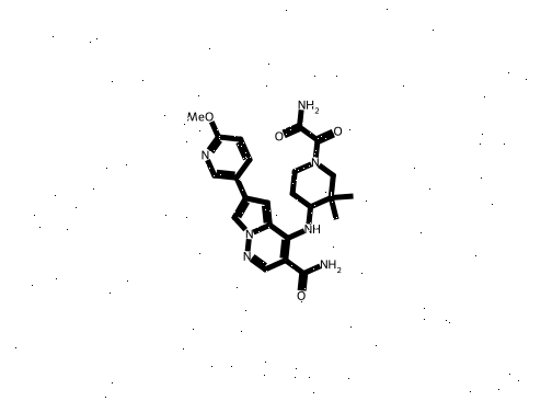 COc1ccc(-c2cc3c(NC4CCN(C(=O)C(N)=O)CC4(C)C)c(C(N)=O)cnn3c2)cn1